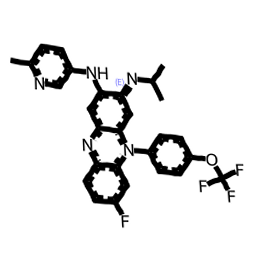 Cc1ccc(Nc2cc3nc4ccc(F)cc4n(-c4ccc(OC(F)(F)F)cc4)c-3c/c2=N\C(C)C)cn1